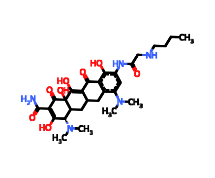 CCCCNCC(=O)Nc1cc(N(C)C)c2c(c1O)C(=O)C1=C(O)C3(O)C(=O)C(C(N)=O)=C(O)[C@@H](N(C)C)C3CC1C2